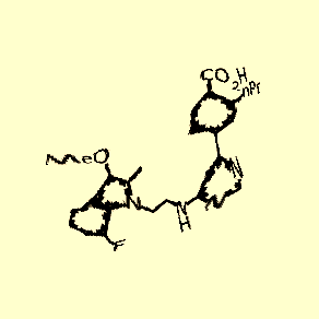 CCCc1cc(-c2cc(NCCn3c(C)c(OC)c4cccc(F)c43)ncn2)ccc1C(=O)O